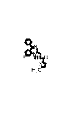 Cc1ccc(C(=O)NCC2CN=C(c3ccccc3)c3ccc(F)cc3N2C)s1